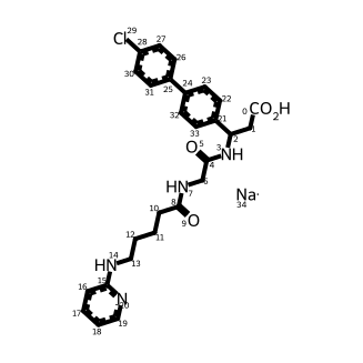 O=C(O)CC(NC(=O)CNC(=O)CCCCNc1ccccn1)c1ccc(-c2ccc(Cl)cc2)cc1.[Na]